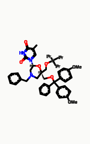 COc1ccc(C(OC[C@]2(CO[Si](C(C)C)(C(C)C)C(C)C)CN(Cc3ccccc3)C[C@H](n3cc(C)c(=O)[nH]c3=O)O2)(c2ccccc2)c2ccc(OC)cc2)cc1